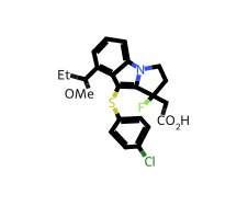 CCC(OC)c1cccc2c1c(Sc1ccc(Cl)cc1)c1n2CCC1(F)CC(=O)O